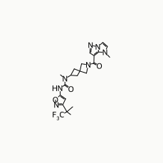 CN(C(=O)Nc1cc(C(C)(C)C(F)(F)F)no1)C1CC2(C1)CN(C(=O)c1cnn3ccn(C)c13)C2